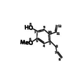 C=CCc1cc(OC)c(O)cc1C=C